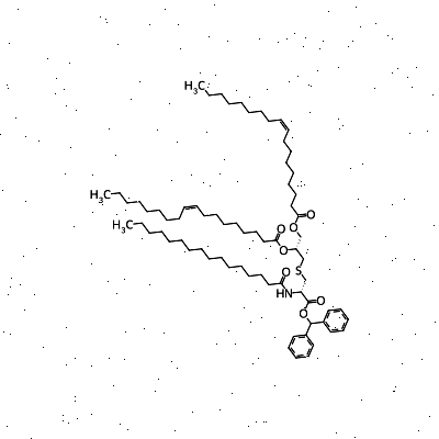 CCCCCCCC/C=C\CCCCCCCC(=O)OC[C@H](CSC[C@@H](NC(=O)CCCCCCCCCCCCCCC)C(=O)OC(c1ccccc1)c1ccccc1)OC(=O)CCCCCCC/C=C\CCCCCCCC